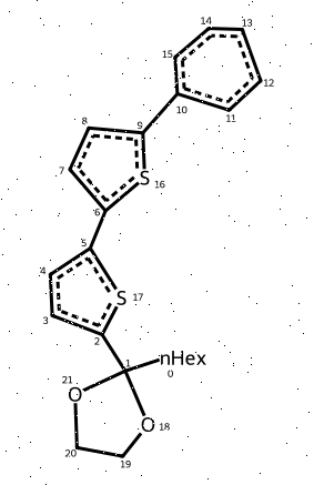 CCCCCCC1(c2ccc(-c3ccc(-c4cc[c]cc4)s3)s2)OCCO1